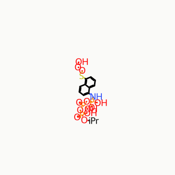 CC(C)OP(=O)(O)OP(=O)(O)OP(=O)(O)Nc1cccc2c(SOOO)cccc12